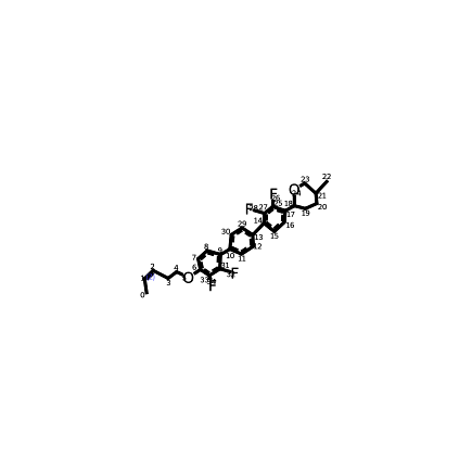 C/C=C\CCOc1ccc(-c2ccc(-c3ccc(C4CCC(C)CO4)c(F)c3F)cc2)c(F)c1F